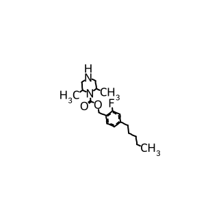 CCCCCc1ccc(COC(=O)N2C(C)CNCC2C)c(F)c1